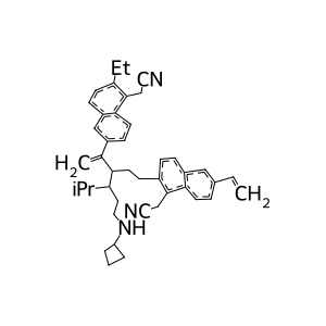 C=Cc1ccc2c(CC#N)c(CCC(C(=C)c3ccc4c(CC#N)c(CC)ccc4c3)C(CCNC3CCC3)C(C)C)ccc2c1